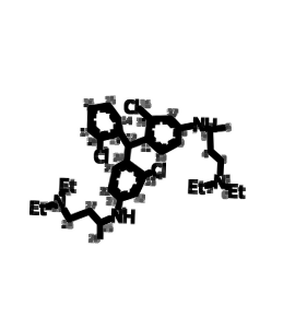 CCN(CC)CCC(C)Nc1ccc(C(c2ccccc2Cl)c2ccc(NC(C)CCN(CC)CC)cc2Cl)c(Cl)c1